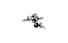 CCCC(=O)OC[C@H]1O[C@@H]([n+]2cccc(C(N)=O)c2)[C@H](OC(=O)CCC)[C@@H]1OC(=O)CCC